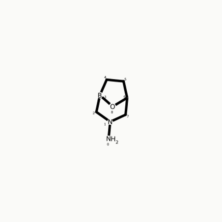 NN1CB2CCC(C1)O2